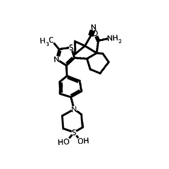 Cc1nc(-c2ccc(N3CCS(O)(O)CC3)cc2)c(C2CCCCC2(C(N)=O)C2(C#N)CC2)s1